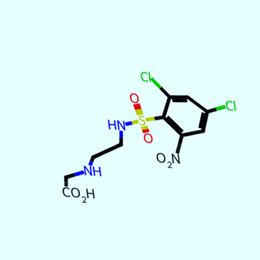 O=C(O)CNCCNS(=O)(=O)c1c(Cl)cc(Cl)cc1[N+](=O)[O-]